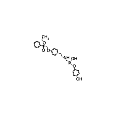 CCO[P@](=O)(COc1ccc(CCNC[C@H](O)COc2ccc(O)cc2)cc1)c1ccccc1